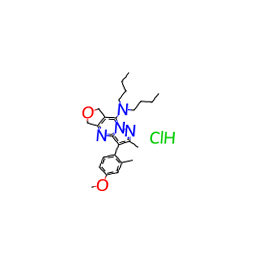 CCCCN(CCCC)c1c2c(nc3c(-c4ccc(OC)cc4C)c(C)nn13)COC2.Cl